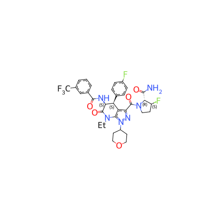 CCN1C(=O)[C@@H](NC(=O)c2cccc(C(F)(F)F)c2)[C@@H](c2ccc(F)cc2)c2c(C(=O)N3CC[C@H](F)[C@H]3C(N)=O)nn(C3CCOCC3)c21